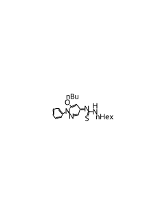 CCCCCCNC(=S)N=c1cnn(-c2ccccc2)c(OCCCC)c1